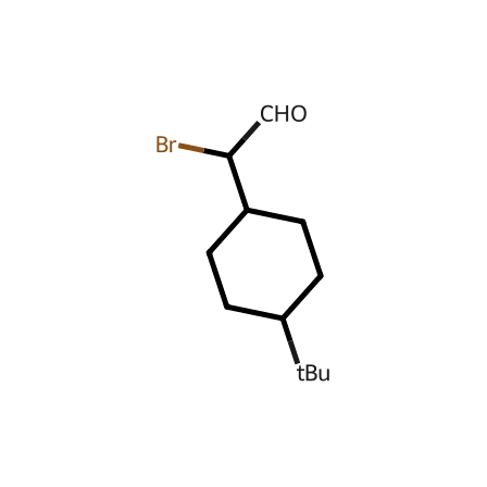 CC(C)(C)C1CCC(C(Br)C=O)CC1